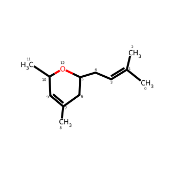 CC(C)=CCC1CC(C)=CC(C)O1